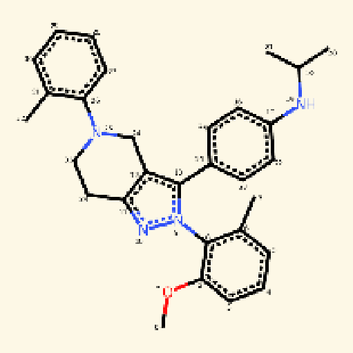 COc1cccc(C)c1-n1nc2c(c1-c1ccc(NC(C)C)cc1)CN(c1ccccc1C)CC2